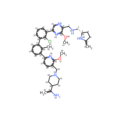 C=C1CC[C@@H](CNCc2ncc(-c3cccc(-c4cccc(-c5ccc(CN6CCC(C(=C)N)CC6)c(OC)n5)c4C)c3Cl)nc2OC)N1